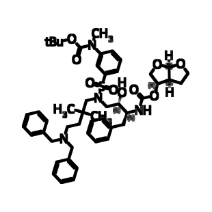 CN(C(=O)OC(C)(C)C)c1cccc(S(=O)(=O)N(C[C@H](O)[C@H](Cc2ccccc2)NC(=O)O[C@H]2CO[C@H]3OCC[C@H]32)CC(C)(C)CCN(Cc2ccccc2)Cc2ccccc2)c1